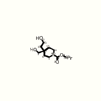 CC(C)OC(=O)N1CCC(CO)(CCO)CC1